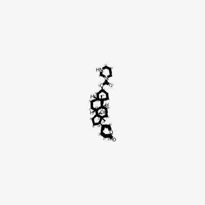 C[C@]12CC[C@H](OC(=O)N3CCCNC3)C[C@H]1CC[C@@H]1[C@@H]2CC[C@]2(C)[C@@H](c3ccc(=O)oc3)CC[C@]12O